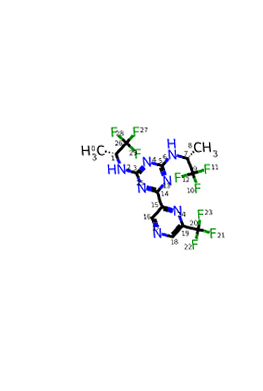 C[C@@H](Nc1nc(N[C@H](C)C(F)(F)F)nc(-c2cncc(C(F)(F)F)n2)n1)C(F)(F)F